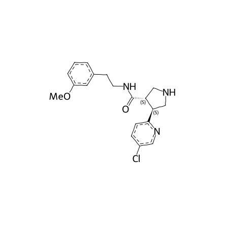 COc1cccc(CCNC(=O)[C@@H]2CNC[C@H]2c2ccc(Cl)cn2)c1